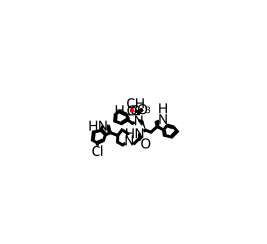 COc1ccccc1CN(C[C@@H](Cc1c[nH]c2ccccc12)NC(=O)CN1CCC(c2c[nH]c3ccc(Cl)cc23)CC1)C(C)=O